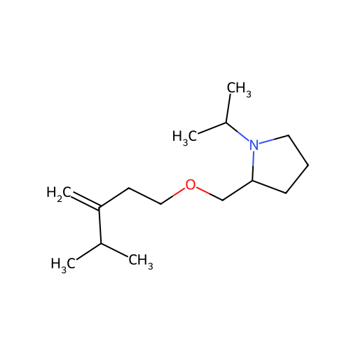 C=C(CCOCC1CCCN1C(C)C)C(C)C